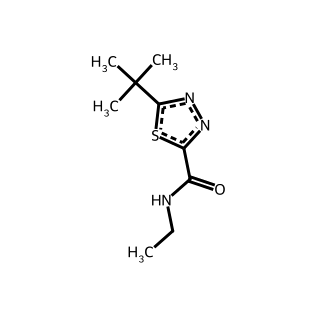 CCNC(=O)c1nnc(C(C)(C)C)s1